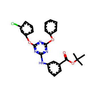 CC(C)(C)OC(=O)c1cccc(Nc2nc(Oc3ccccc3)nc(Oc3cccc(Cl)c3)n2)c1